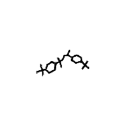 CC(CCC(C)(C)N1CCC(C(F)(F)F)CC1)N1CCN(C(C)(C)C)CC1